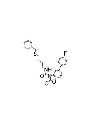 O=C(NCCCCSCc1ccccc1)n1c(=O)oc2ccc(-c3ccc(F)cc3)cc21